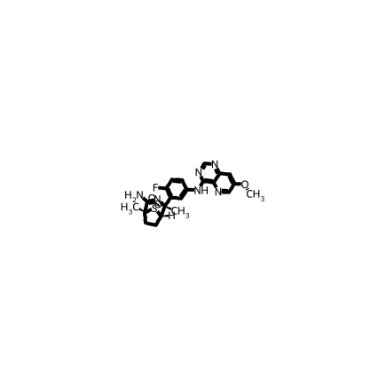 COc1cnc2c(Nc3ccc(F)c([C@@]4(C)N=C(N)[C@@]5(C)CC[C@@H]4S5(=O)=O)c3)ncnc2c1